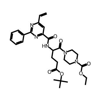 C=Cc1cc(C(=O)NC(CCC(=O)OC(C)(C)C)C(=O)N2CCN(C(=O)OCC)CC2)nc(-c2ccccc2)n1